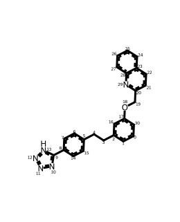 c1cc(CCc2ccc(-c3nnn[nH]3)cc2)cc(OCc2ccc3ccccc3n2)c1